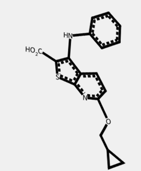 O=C(O)c1sc2nc(OCC3CC3)ccc2c1Nc1ccccc1